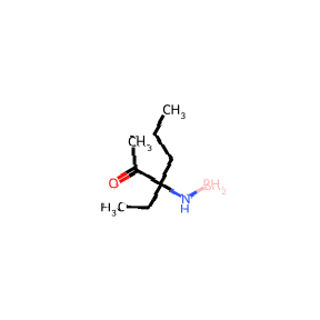 BNC(CC)(CCC)C(C)=O